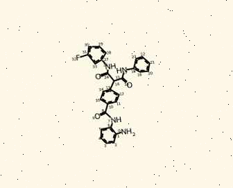 Nc1ccccc1NC(=O)c1ccc(C(C(=O)Nc2ccccc2)C(=O)Nc2cccc(F)c2)cc1